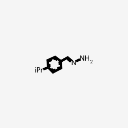 CC(C)c1ccc(C=NN)cc1